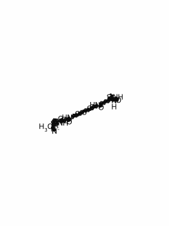 CC(=[N+]=[N-])c1cccc(NC(=O)CCC(=O)NCCCOCCOCCOCCCNC(=O)CCCCC2SCC3NC(=O)NC32)c1